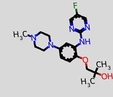 CN1CCN(c2ccc(OCC(C)(C)O)c(Nc3ncc(F)cn3)c2)CC1